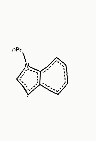 CCCn1c[c]c2ccccc21